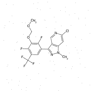 COCOc1c(F)c(-c2nn(C)c3cc(Cl)ncc23)cc(C(F)(F)F)c1F